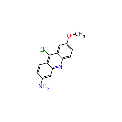 COc1ccc2nc3cc(N)ccc3c(Cl)c2c1